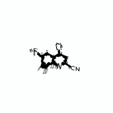 N#Cc1cc(Cl)c2cc(F)ccc2n1